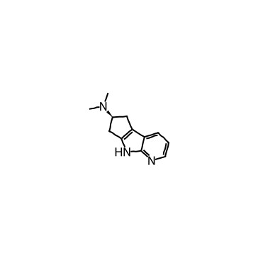 CN(C)[C@@H]1Cc2[nH]c3ncccc3c2C1